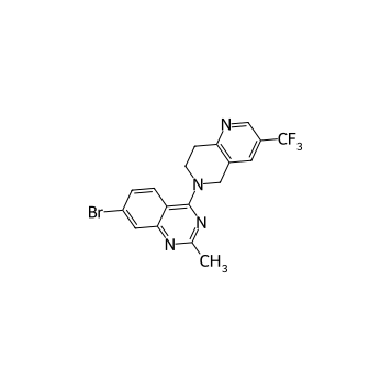 Cc1nc(N2CCc3ncc(C(F)(F)F)cc3C2)c2ccc(Br)cc2n1